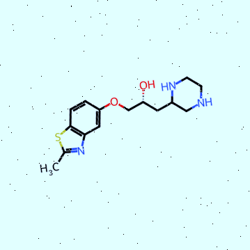 Cc1nc2cc(OC[C@H](O)CC3CNCCN3)ccc2s1